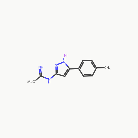 COC(=N)Nc1cc(-c2ccc(C)cc2)[nH]n1.I